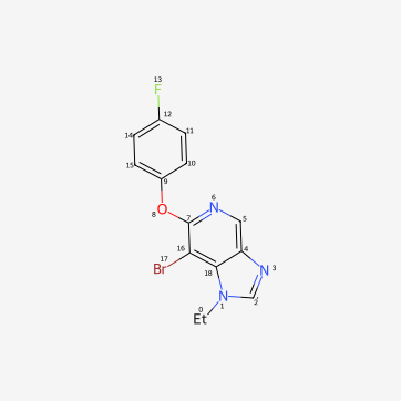 CCn1[c]nc2cnc(Oc3ccc(F)cc3)c(Br)c21